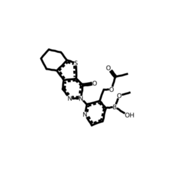 COB(O)c1ccnc(-n2ncc3c4c(sc3c2=O)CCCC4)c1COC(C)=O